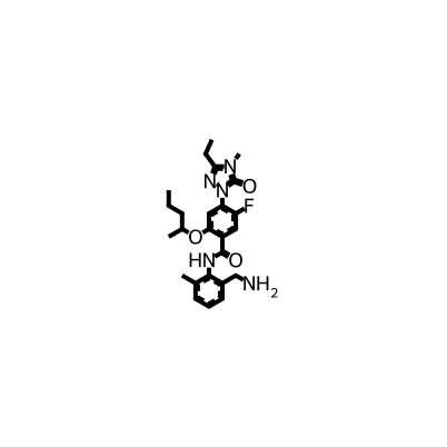 CCCC(C)Oc1cc(-n2nc(CC)n(C)c2=O)c(F)cc1C(=O)Nc1c(C)cccc1CN